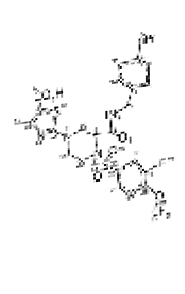 CCCc1ccc(CNC(=O)C2CN(c3nc(C)c(C(=O)O)s3)CCN2S(=O)(=O)c2ccc(OC(F)(F)F)c(F)c2)cc1